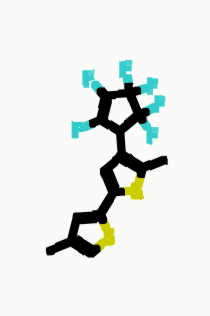 Cc1csc(-c2cc(C3C(F)=C(F)C(F)(F)C3(F)F)c(C)s2)c1